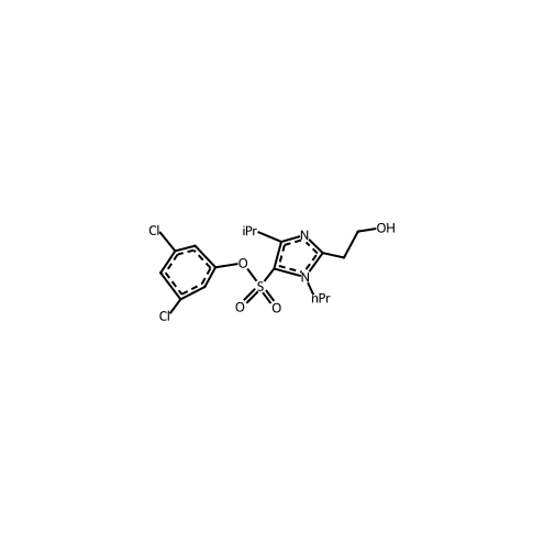 CCCn1c(CCO)nc(C(C)C)c1S(=O)(=O)Oc1cc(Cl)cc(Cl)c1